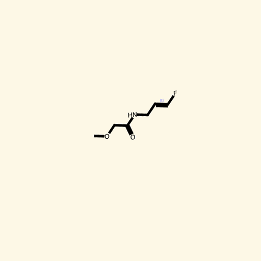 COCC(=O)NC/C=C/F